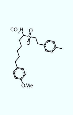 COc1ccc(CCCCCC(C(=O)O)S(=O)(=O)CCc2ccc(C)cc2)cc1